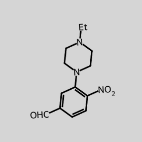 CCN1CCN(c2cc(C=O)ccc2[N+](=O)[O-])CC1